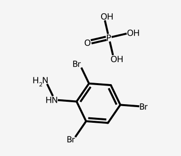 NNc1c(Br)cc(Br)cc1Br.O=P(O)(O)O